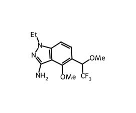 CCn1nc(N)c2c(OC)c(C(OC)C(F)(F)F)ccc21